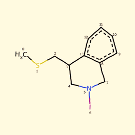 CSCC1CN(I)Cc2ccccc21